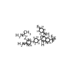 CC(N)CCc1nc(-c2ccc(CNc3ncc(C(F)(F)F)cc3C(=O)Nc3ccc(F)cc3)cc2)cnc1N